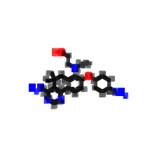 CCCN(CCO)c1c(OC2CCC(N)CC2)ccc2c1CC(C)(C)c1c(N)ncnc1-2